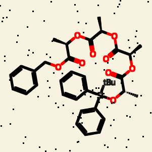 C[C@H](O[Si](c1ccccc1)(c1ccccc1)C(C)(C)C)C(=O)O[C@H](C)C(=O)O[C@H](C)C(=O)O[C@H](C)C(=O)OCc1ccccc1